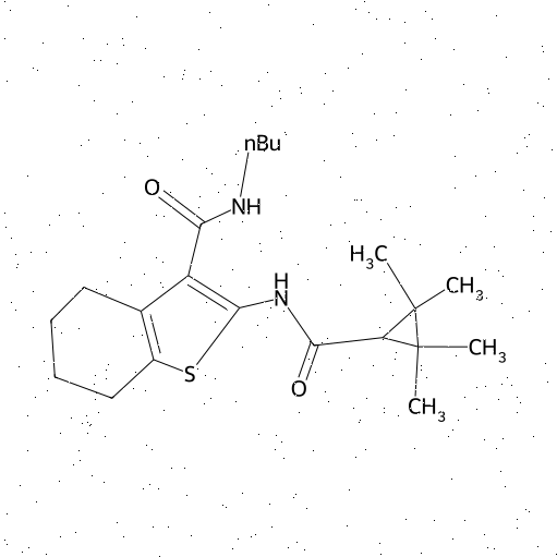 CCCCNC(=O)c1c(NC(=O)C2C(C)(C)C2(C)C)sc2c1CCCC2